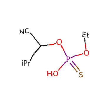 CCOP(O)(=S)OC(C#N)C(C)C